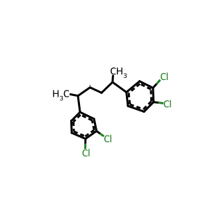 CC([CH]CC(C)c1ccc(Cl)c(Cl)c1)c1ccc(Cl)c(Cl)c1